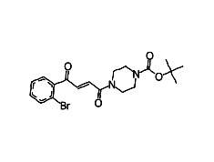 CC(C)(C)OC(=O)N1CCN(C(=O)/C=C/C(=O)c2ccccc2Br)CC1